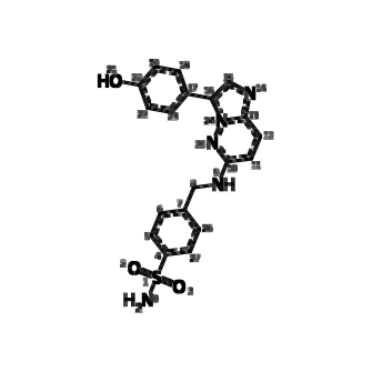 NS(=O)(=O)c1ccc(CNc2ccc3ncc(-c4ccc(O)cc4)n3n2)cc1